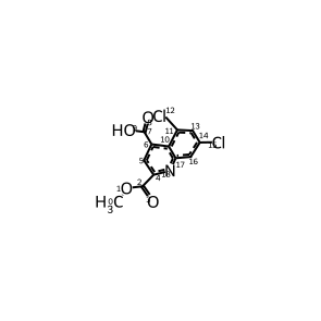 COC(=O)c1cc(C(=O)O)c2c(Cl)cc(Cl)cc2n1